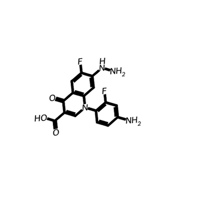 NNc1cc2c(cc1F)c(=O)c(C(=O)O)cn2-c1ccc(N)cc1F